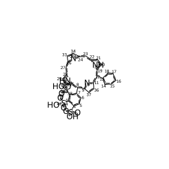 O=S(=O)(O)c1ccc(-c2c3nc(c(-c4ccccc4)c4ccc(cc5nc(cc6ccc2[nH]6)C=C5)[nH]4)C=C3)c(S(=O)(=O)O)c1S(=O)(=O)O